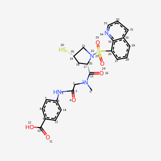 CN(CC(=O)Nc1ccc(C(=O)O)cc1)C(=O)[C@@H]1C[C@H](S)CN1S(=O)(=O)c1cccc2cccnc12